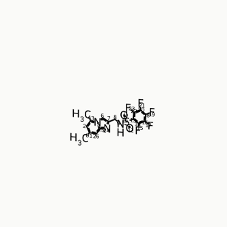 Cc1cc(C)n2cc(CNS(=O)(=O)c3c(F)c(F)c(F)c(F)c3F)nc2c1